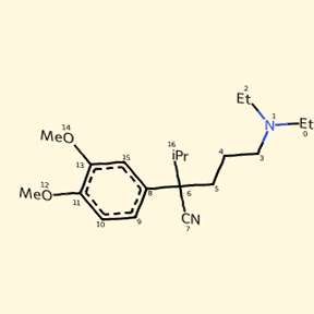 CCN(CC)CCCC(C#N)(c1ccc(OC)c(OC)c1)C(C)C